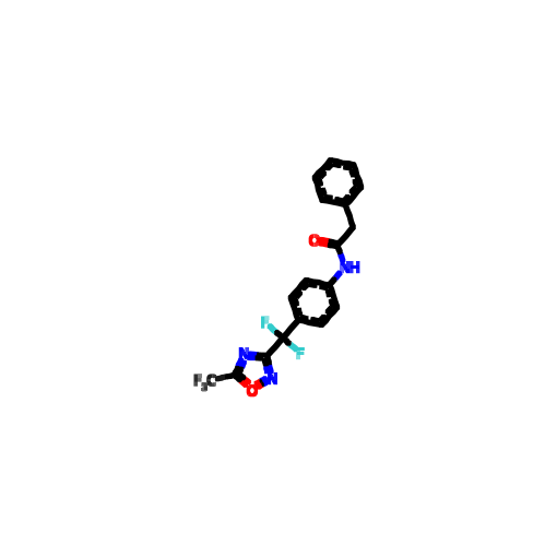 O=C(Cc1ccccc1)Nc1ccc(C(F)(F)c2noc(C(F)(F)F)n2)cc1